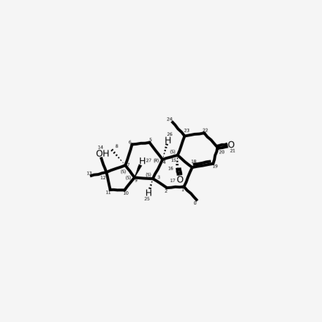 CC1C[C@@H]2[C@@H](CC[C@@]3(C)[C@H]2CCC3(C)O)[C@]2(C=O)C1=CC(=O)CC2C